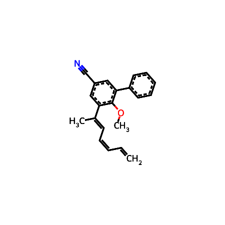 C=C/C=C\C=C(/C)c1cc(C#N)cc(-c2ccccc2)c1OC